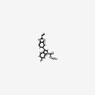 C=Cc1nc2ccc(-c3cn(C(=O)OC(C)(C)C)c4cc(F)ccc34)cc2o1